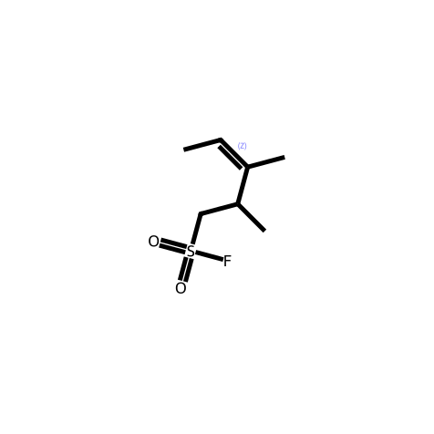 C/C=C(/C)C(C)CS(=O)(=O)F